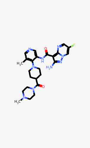 Cc1cncc(NC(=O)c2c(N)nn3cc(F)cnc23)c1N1CCC(C(=O)N2CCN(C)CC2)CC1